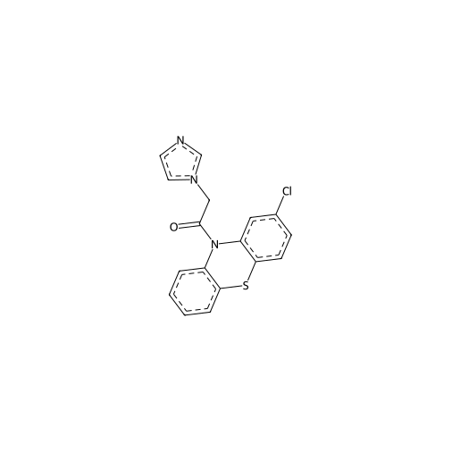 O=C(Cn1ccnc1)N1c2ccccc2Sc2ccc(Cl)cc21